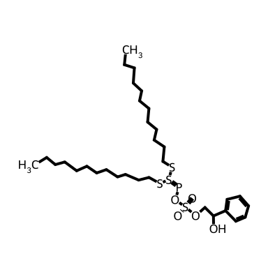 CCCCCCCCCCCCSS(=POS(=O)(=O)OCC(O)c1ccccc1)SCCCCCCCCCCCC